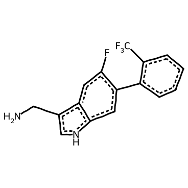 NCc1c[nH]c2cc(-c3ccccc3C(F)(F)F)c(F)cc12